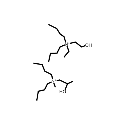 CCCC[N+](C)(CCCC)CC(C)O.CCCC[N+](CC)(CCO)CCCC